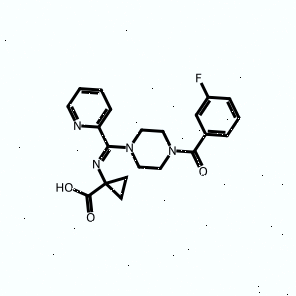 O=C(c1cccc(F)c1)N1CCN(C(=NC2(C(=O)O)CC2)c2ccccn2)CC1